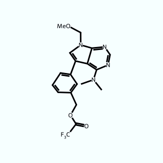 COCn1cc(-c2cccc(COC(=O)C(F)(F)F)c2)c2c(N(C)C)ncnc21